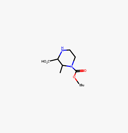 CC1C(C(=O)O)NCCN1C(=O)OC(C)(C)C